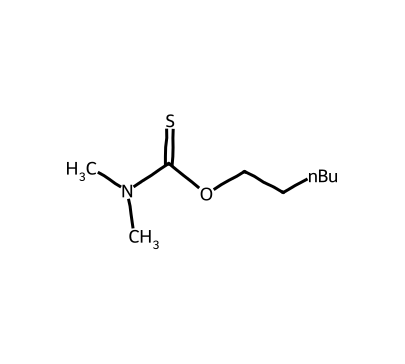 [CH2]CCCCCOC(=S)N(C)C